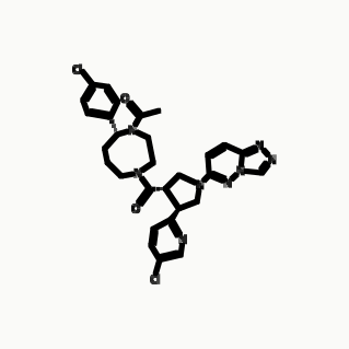 CC(=O)N1CCN(C(=O)[C@@H]2CN(c3ccc4nncn4n3)C[C@H]2c2ccc(Cl)cn2)CCC[C@@H]1c1ccc(Cl)cc1